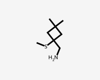 CSC1(CN)CC(C)(C)C1